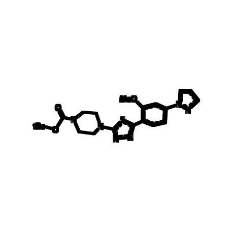 COc1cc(-n2cccn2)ccc1-c1nnc(N2CCN(C(=O)OC(C)(C)C)CC2)s1